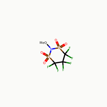 CON1S(=O)(=O)C(F)(F)C(F)(F)C(F)(F)S1(=O)=O